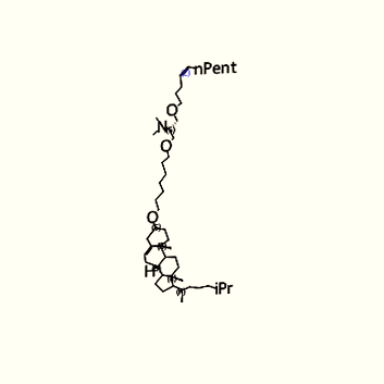 CCCCC/C=C\CCCOC[C@H](COCCCCCCCO[C@H]1CC[C@@]2(C)C(=CC[C@H]3C4CCC([C@H](C)CCCC(C)C)[C@@]4(C)CCC32)C1)N(C)C